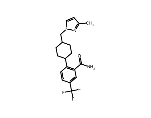 Cc1ccn(CC2CCC(c3ccc(C(F)(F)F)cc3C(N)=O)CC2)n1